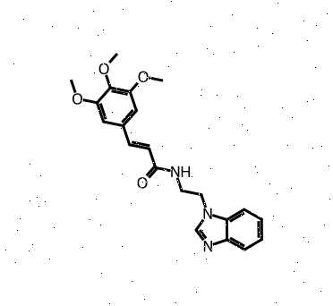 COc1cc(C=CC(=O)NCCn2cnc3ccccc32)cc(OC)c1OC